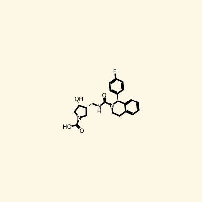 O=C(O)N1C[C@@H](CNC(=O)N2CCc3ccccc3[C@@H]2c2ccc(F)cc2)[C@@H](O)C1